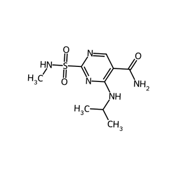 CNS(=O)(=O)c1ncc(C(N)=O)c(NC(C)C)n1